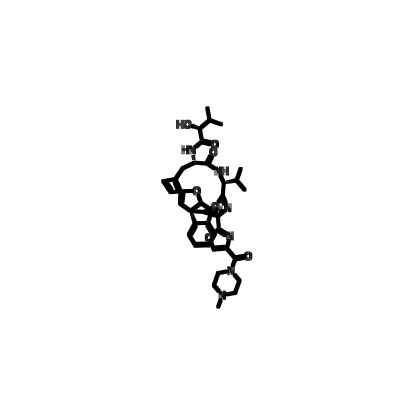 CC(C)[C@H](O)C(=O)N[C@H]1Cc2ccc3c(c2)[C@@]2(c4ccccc4NC2O3)c2oc(nc2-c2nc(C(=O)N3CCN(C)CC3)co2)[C@H](C(C)C)NC1=O